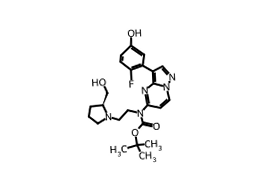 CC(C)(C)OC(=O)N(CCN1CCC[C@H]1CO)c1ccn2ncc(-c3cc(O)ccc3F)c2n1